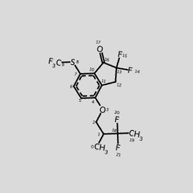 CC(COc1ccc(SC(F)(F)F)c2c1CC(F)(F)C2=O)C(C)(F)F